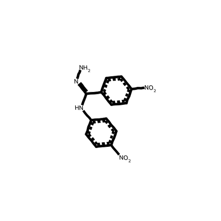 N/N=C(/Nc1ccc([N+](=O)[O-])cc1)c1ccc([N+](=O)[O-])cc1